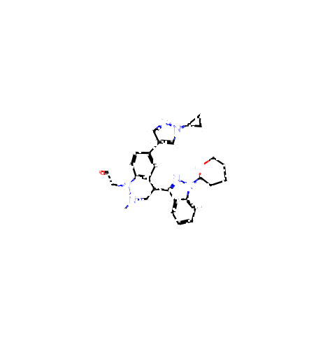 CN1CC(c2nn(C3CCCCO3)c3ccccc23)c2cc(-c3cnn(C4CC4)c3)ccc2N1CC=O